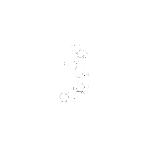 CN1C(=O)C(NC(=O)C2NN=C(Cc3ccccc3)N2)CCn2nc3c(c21)CSC3